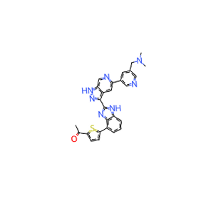 CC(=O)c1ccc(-c2cccc3[nH]c(-c4n[nH]c5cnc(-c6cncc(CN(C)C)c6)cc45)nc23)s1